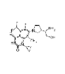 Cc1c(N2CCC(C(N)CO)C2)c(F)c(C(F)F)c2c(=O)[nH]c(=O)n(C3CC3)c12